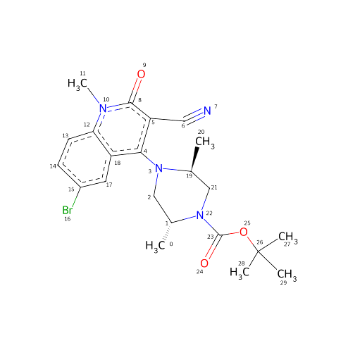 C[C@@H]1CN(c2c(C#N)c(=O)n(C)c3ccc(Br)cc23)[C@@H](C)CN1C(=O)OC(C)(C)C